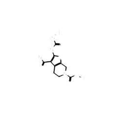 CC(C)(C)NC(=O)Nc1sc2c(c1C(N)=O)CCN(C(=O)OC(C)(C)C)C2